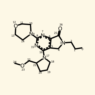 CCCN1Cc2c(nc(N3CCOCC3)nc2N2CCCC2COC)C1=O